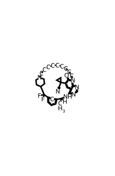 C[C@H]1Nc2ncnc3c2cc(C2(C#N)CC2)c(=O)n3CCCCCCCCCN2CCC(CC2)C(F)(F)c2cccc1c2